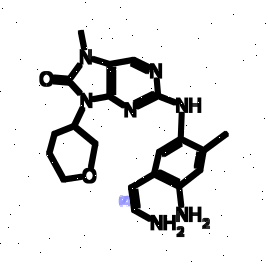 Cc1cc(N)c(/C=C\N)cc1Nc1ncc2c(n1)n(C1CCCOC1)c(=O)n2C